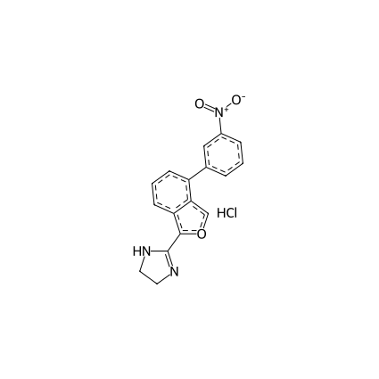 Cl.O=[N+]([O-])c1cccc(-c2cccc3c(C4=NCCN4)occ23)c1